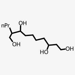 CCCC(CO)C(O)CCCCC(O)CCO